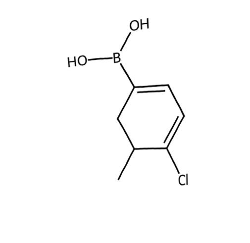 CC1CC(B(O)O)=CC=C1Cl